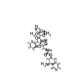 COC(C(=O)NC(O)(Cc1ccccc1)C(O)CNC(=O)OC(CCN)Cc1ccccc1)C(C)(C)C